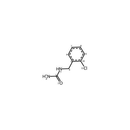 NC(=O)NCc1ccccc1Cl